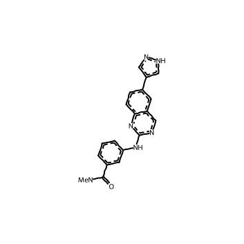 CNC(=O)c1cccc(Nc2ncc3cc(-c4cn[nH]c4)ccc3n2)c1